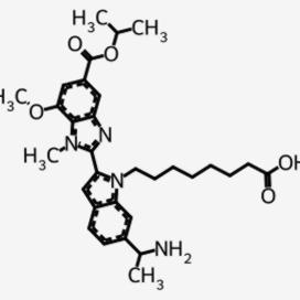 COc1cc(C(=O)OC(C)C)cc2nc(-c3cc4ccc(C(C)N)cc4n3CCCCCCCC(=O)O)n(C)c12